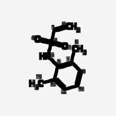 C=CS(=O)(=O)Nc1c(C)cccc1C